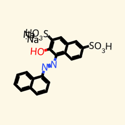 O=S(=O)(O)c1ccc2c(N=Nc3cccc4ccccc34)c(O)c(S(=O)(=O)O)cc2c1.[Na].[Na]